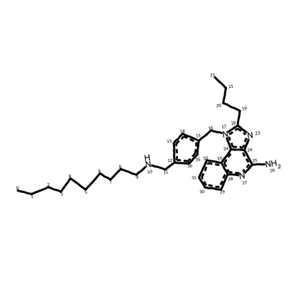 CCCCCCCCCCNCc1ccc(Cn2c(CCCC)nc3c(N)nc4ccccc4c32)cc1